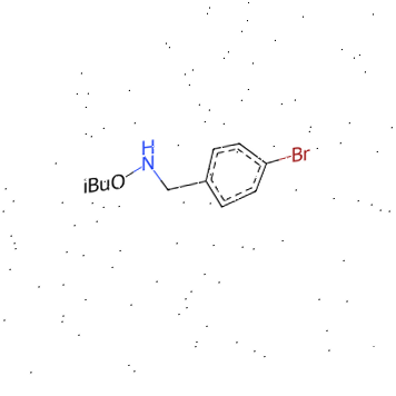 CC(C)CONCc1ccc(Br)cc1